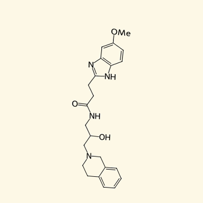 COc1ccc2[nH]c(CCC(=O)NCC(O)CN3CCc4ccccc4C3)nc2c1